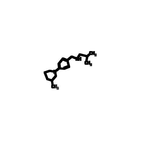 CC(C)CNCc1ccc(N2CCCC(C)C2)cc1